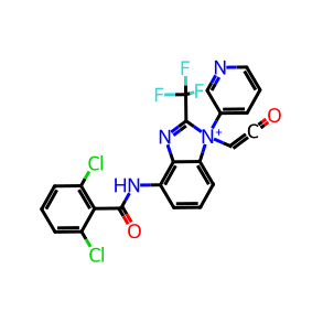 O=C=C[N+]1(c2cccnc2)C(C(F)(F)F)=Nc2c(NC(=O)c3c(Cl)cccc3Cl)cccc21